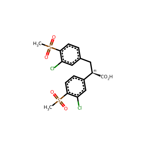 CS(=O)(=O)c1ccc(C[C@@H](C(=O)O)c2ccc(S(C)(=O)=O)c(Cl)c2)cc1Cl